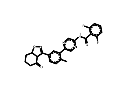 Cc1ccc(C2=NOC3CCCC(=O)C23)cc1-c1cnc(NC(=O)c2c(F)cccc2F)cn1